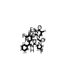 CCn1c(=O)c(C)cn(CC(=O)N2C[C@H](F)C[C@H]2C(=O)N[C@@H](c2ccccc2)c2ccc(C(C)C)c(F)n2)c1=O